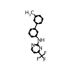 Cc1cccc(-c2cccc(Nc3nccc(C(F)(F)F)n3)c2)c1